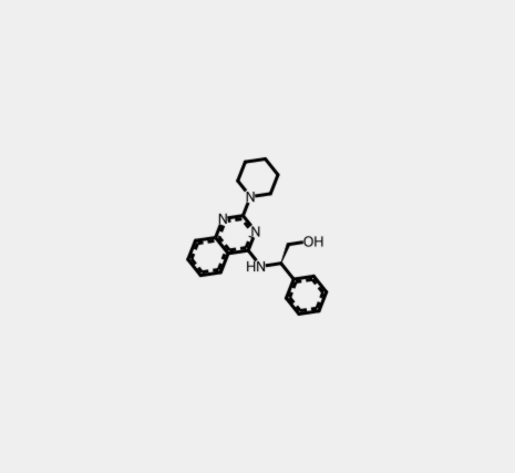 OC[C@H](Nc1nc(N2CCCCC2)nc2ccccc12)c1ccccc1